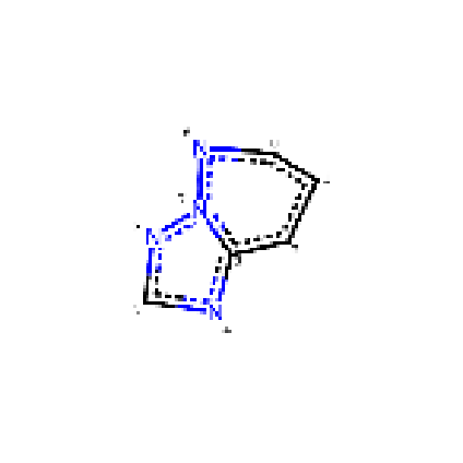 [c]1ccc2ncnn2n1